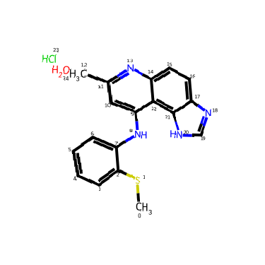 CSc1ccccc1Nc1cc(C)nc2ccc3nc[nH]c3c12.Cl.O